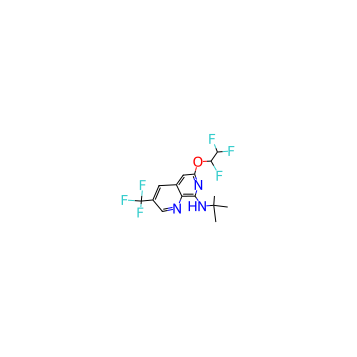 CC(C)(C)Nc1nc(OC(F)C(F)F)cc2cc(C(F)(F)F)cnc12